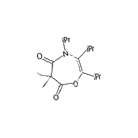 CC(C)C1=C(C(C)C)N(C(C)C)C(=O)C(C)(C)C(=O)O1